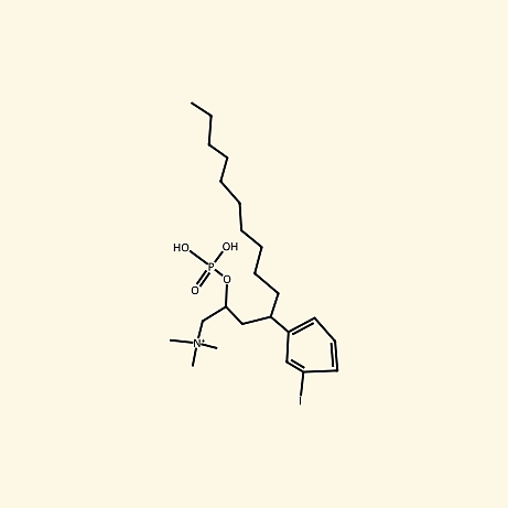 CCCCCCCCCCC(CC(C[N+](C)(C)C)OP(=O)(O)O)c1cccc(I)c1